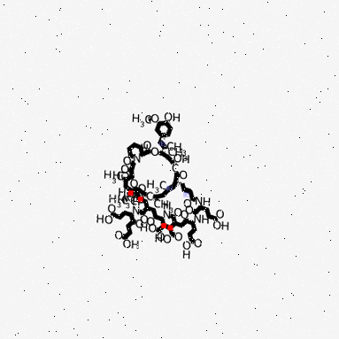 CO[C@H]1C[C@@H](C)C/C(C)=C/[C@@H](C/C=C/C(=O)NC(CCC(=O)O)C(=O)NC(CCC(=O)O)C(=O)CC(CCC(=O)O)C(=O)NC(CCC(=O)O)C(=O)CC(CCC(=O)O)C(=O)NC(CCC(=O)O)C(=O)CCC(=O)O)C(=O)C[C@H](O)[C@@H](C)[C@@H](/C(C)=C/[C@@H]2CC[C@@H](O)[C@H](OC)C2)OC(=O)[C@@H]2CCCCN2C(=O)C(=O)[C@]2(O)O[C@H]1[C@@H](OC)C[C@H]2C